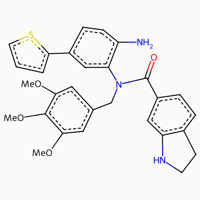 COc1cc(CN(C(=O)c2ccc3c(c2)NCC3)c2cc(-c3cccs3)ccc2N)cc(OC)c1OC